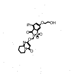 CC(C)c1cc(OCCO)cc2c1C(=O)N(COc1cc(=O)n3c(n1)CCCC3)S2(=O)=O